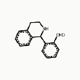 O=Cc1ccccc1C1NCCc2ccccc21